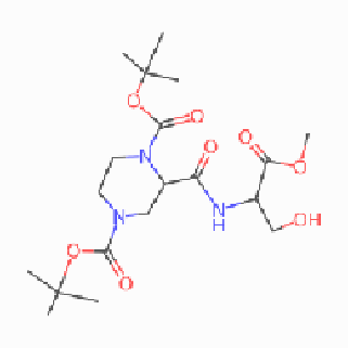 COC(=O)C(CO)NC(=O)C1CN(C(=O)OC(C)(C)C)CCN1C(=O)OC(C)(C)C